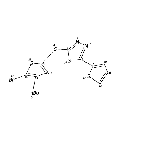 CC(C)(C)c1nc(Sc2nnc(-c3cccs3)s2)sc1Br